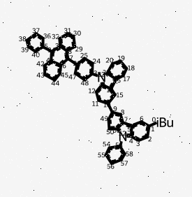 CCC(C)c1ccc2c(c1)c1cc(-c3ccc4c(c3)c3ccccc3n4-c3ccc(-c4c5ccccc5c(-c5ccccc5)c5ccccc45)cc3)ccc1n2-c1ccccc1